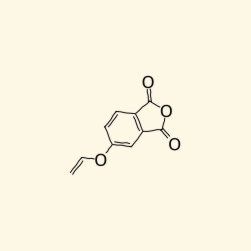 C=COc1ccc2c(c1)C(=O)OC2=O